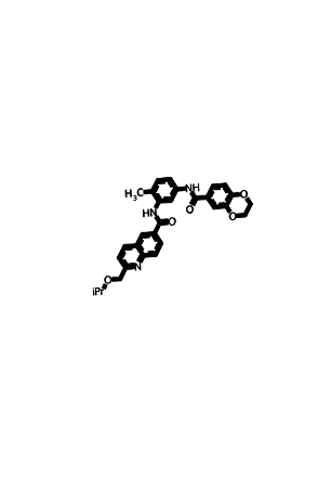 Cc1ccc(NC(=O)c2ccc3c(c2)OCCO3)cc1NC(=O)c1ccc2nc(COC(C)C)ccc2c1